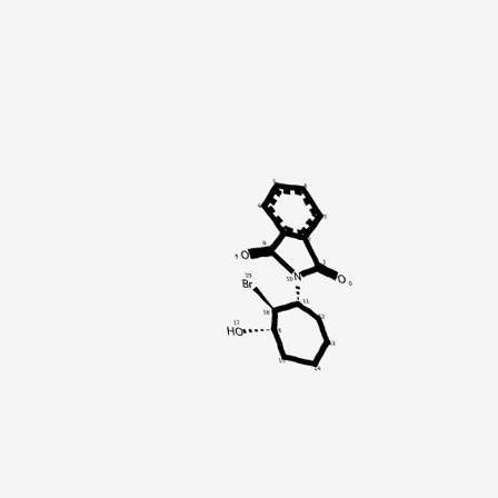 O=C1c2ccccc2C(=O)N1[C@@H]1CCCC[C@H](O)[C@H]1Br